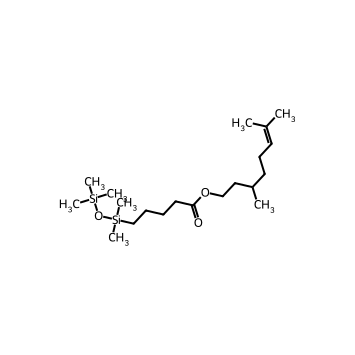 CC(C)=CCCC(C)CCOC(=O)CCCC[Si](C)(C)O[Si](C)(C)C